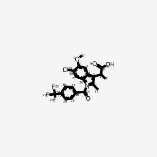 COc1cc2c(C(C)C(=O)O)c(C)n(C(=O)c3ccc(C(F)(F)F)cc3)c2cc1Cl